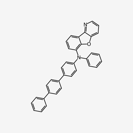 c1ccc(-c2ccc(-c3ccc(N(c4ccccc4)c4cccc5c4oc4cccnc45)cc3)cc2)cc1